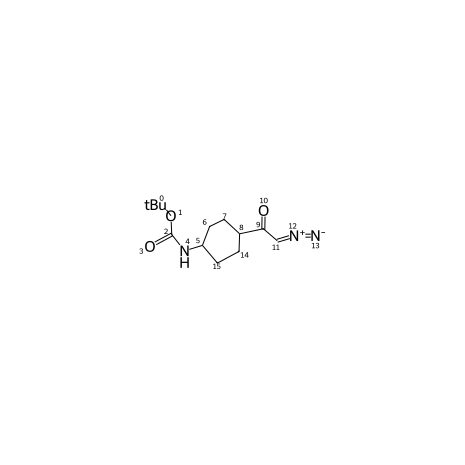 CC(C)(C)OC(=O)NC1CCC(C(=O)C=[N+]=[N-])CC1